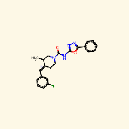 CC1CN(C(=O)Nc2nnc(-c3ccccc3)o2)CC/C1=C\c1cccc(F)c1